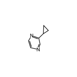 c1cnc(C2CC2)cn1